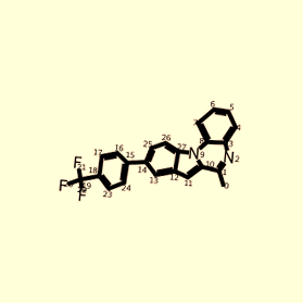 Cc1nc2ccccc2n2c1cc1cc(-c3ccc(C(F)(F)F)cc3)ccc12